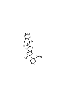 COc1cnccc1-c1cc(F)c(NC(=O)N2[C@H]3CC[C@@H]2c2n[nH]c(=O)cc2C3)cc1Cl